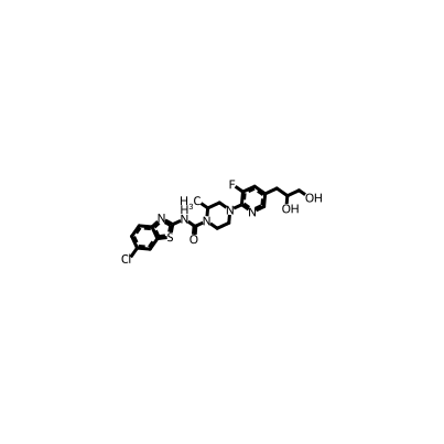 CC1CN(c2ncc(CC(O)CO)cc2F)CCN1C(=O)Nc1nc2ccc(Cl)cc2s1